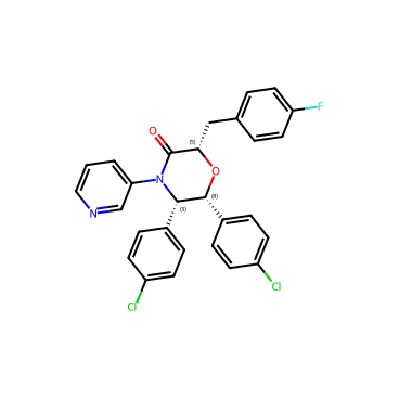 O=C1[C@H](Cc2ccc(F)cc2)O[C@H](c2ccc(Cl)cc2)[C@H](c2ccc(Cl)cc2)N1c1cccnc1